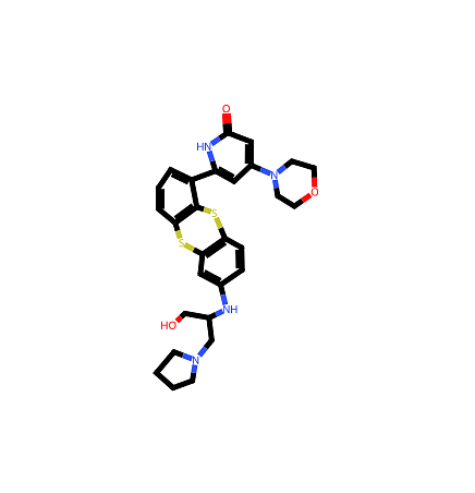 O=c1cc(N2CCOCC2)cc(-c2cccc3c2Sc2ccc(NC(CO)CN4CCCC4)cc2S3)[nH]1